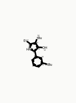 CCc1[nH]c(-c2cccc(C(C)(C)C)c2)c(O)c1C(C)(C)C